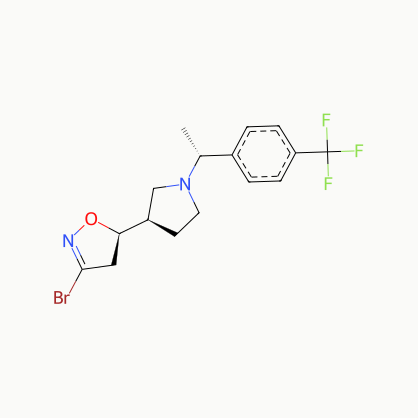 C[C@H](c1ccc(C(F)(F)F)cc1)N1CC[C@@H]([C@H]2CC(Br)=NO2)C1